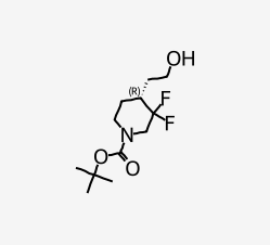 CC(C)(C)OC(=O)N1CC[C@H](CCO)C(F)(F)C1